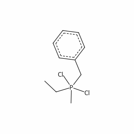 CCP(C)(Cl)(Cl)Cc1ccccc1